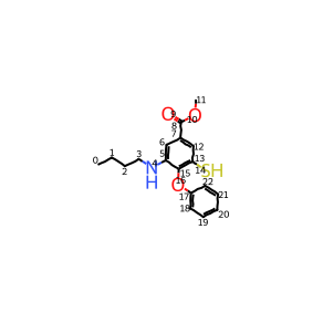 CCCCNc1cc(C(=O)OC)cc(S)c1Oc1ccccc1